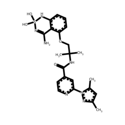 Cc1cc(C)n(-c2cc(C(=O)NC(C)(C)COc3cccc4c3C(N)=NS(O)(O)N4)ccn2)n1